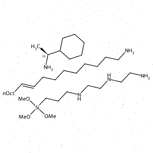 CCCCCCCCC=CCCCCCCCCN.CO[Si](CCCNCCNCCN)(OC)OC.C[C@H](N)C1CCCCC1